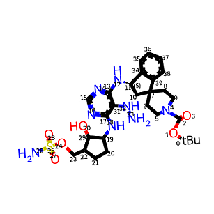 CC(C)(C)OC(=O)N1CCC2(CC1)C[C@H](Nc1ncnc(NC3CCC(COS(N)(=O)=O)C3O)c1NN)c1ccccc12